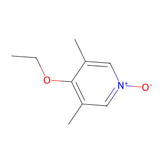 CCOc1c(C)c[n+]([O-])cc1C